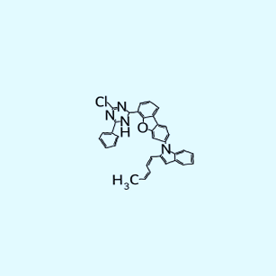 C/C=C\C=C/c1cc2ccccc2n1-c1ccc2c(c1)oc1c(C3N=C(Cl)N=C(c4ccccc4)N3)cccc12